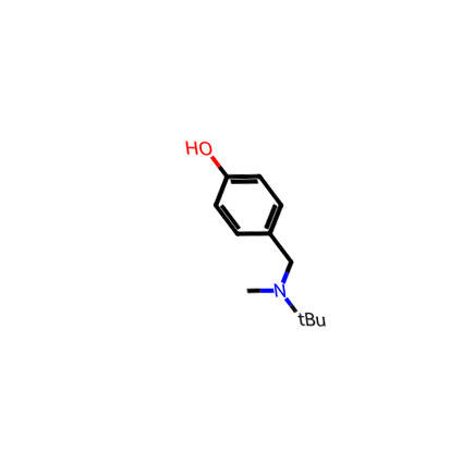 CN(Cc1ccc(O)cc1)C(C)(C)C